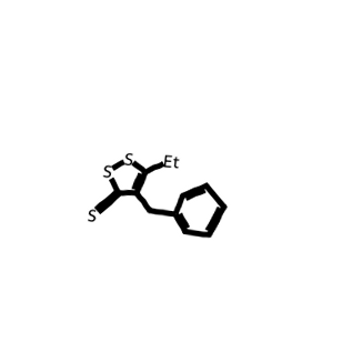 CCc1ssc(=S)c1Cc1ccccc1